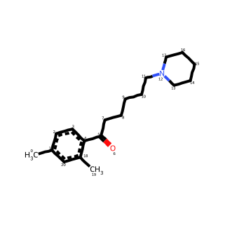 Cc1ccc(C(=O)CCCCCN2CC[CH]CC2)c(C)c1